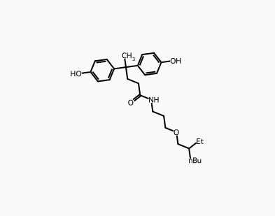 CCCCC(CC)COCCCNC(=O)CCC(C)(c1ccc(O)cc1)c1ccc(O)cc1